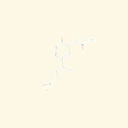 COC(=O)Nc1cc(C(Br)CCC2CC2)ccc1F